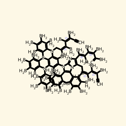 BC(=C)/C(B)=C(B)\C(B)=C(/B)c1nc2n(-c3c(B)c4c5c(c3B)N(c3c(B)c(B)c(B)c(B)c3B)c3c(B)c(B)c(B)c(B)c3B5c3c(B)c(B)c(B)c(B)c3N4C/C(B)=C(B)\C(B)=C(\B)C#C)c(-c3c(B)c(B)c(B)c(B)c3B)c(-c3c(B)c(B)c(B)c(B)c3B)n2c1C/C(B)=C(B)\C(B)=C(\B)C#C